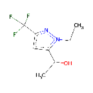 CCn1nc(C(F)(F)F)cc1C(C)O